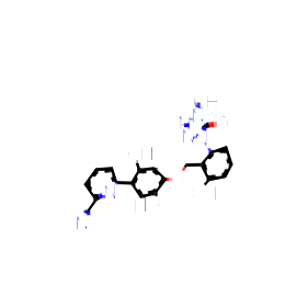 Cc1cc(-c2cccc(C#N)n2)c(C)cc1OCc1c(C)cccc1-n1nnn(C)c1=O